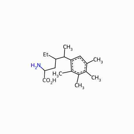 CCC(CC(N)C(=O)O)C(C)c1cc(C)c(C)c(C)c1C